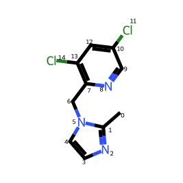 Cc1nccn1Cc1ncc(Cl)cc1Cl